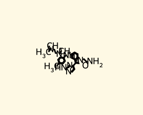 Cc1cc(N(C)CCN(C)C)c(N)cc1Nc1nccc(-c2cn(CC(N)=O)c3ccccc23)n1